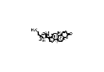 CCCC(C)(C)NC(=O)C1CC[C@H]2[C@@H]3CCC4SC(=O)C=C[C@]4(C)[C@@H]3CC[C@]12C